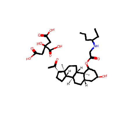 CCCC(CC)NCC(=O)OC1C[C@@H](O)C[C@@H]2CC[C@H]3[C@@H]4CC[C@H](C(C)=O)[C@@]4(C)CC[C@@H]3[C@@]12C.O=C(O)CC(O)(CC(=O)O)C(=O)O